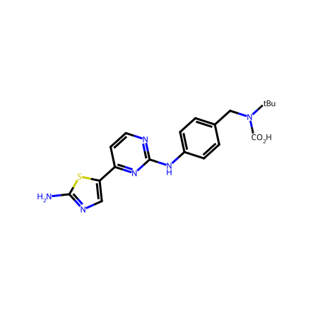 CC(C)(C)N(Cc1ccc(Nc2nccc(-c3cnc(N)s3)n2)cc1)C(=O)O